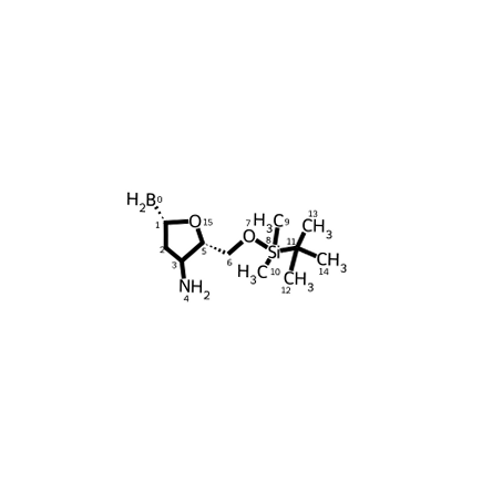 B[C@H]1CC(N)[C@@H](CO[Si](C)(C)C(C)(C)C)O1